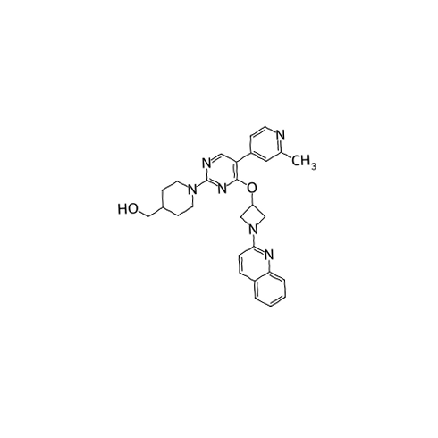 Cc1cc(-c2cnc(N3CCC(CO)CC3)nc2OC2CN(c3ccc4ccccc4n3)C2)ccn1